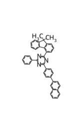 CC1(C)c2ccccc2-c2c(-c3nc(-c4ccccc4)nc(-c4ccc(-c5ccc6ccccc6c5)cc4)n3)cccc21